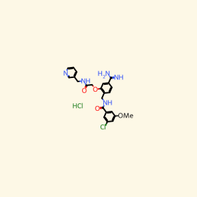 COc1cc(Cl)cc(C(=O)NCc2ccc(C(=N)N)cc2OCC(=O)NCc2cccnc2)c1.Cl